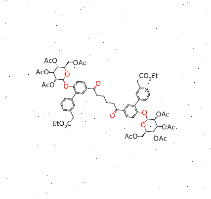 CCOC(=O)Cc1cccc(-c2cc(C(=O)CCCCC(=O)c3ccc(O[C@@H]4O[C@H](COC(C)=O)[C@@H](OC(C)=O)[C@H](OC(C)=O)[C@@H]4OC(C)=O)c(-c4cccc(CC(=O)OCC)c4)c3)ccc2O[C@@H]2O[C@H](COC(C)=O)[C@@H](OC(C)=O)[C@H](OC(C)=O)[C@@H]2OC(C)=O)c1